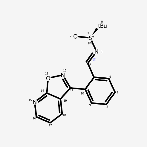 CC(C)(C)[S@+]([O-])/N=C/c1ccccc1-c1noc2ncccc12